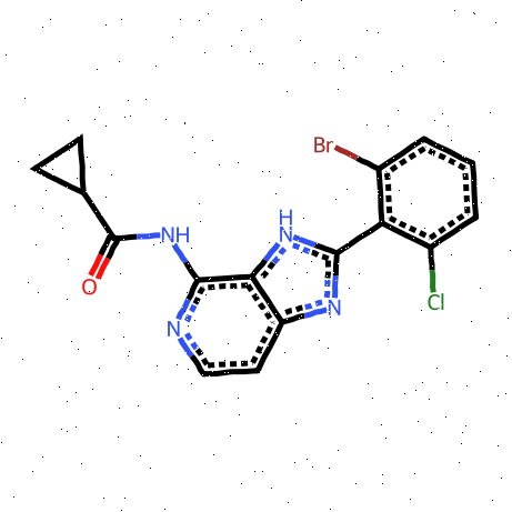 O=C(Nc1nccc2nc(-c3c(Cl)cccc3Br)[nH]c12)C1CC1